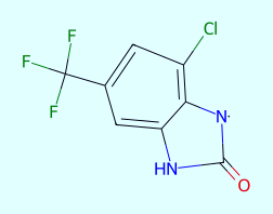 O=C1[N]c2c(Cl)cc(C(F)(F)F)cc2N1